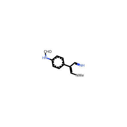 CN/C=C(\C=N)c1ccc(NC=O)cc1